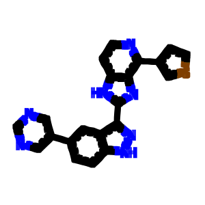 c1ncc(-c2ccc3[nH]nc(-c4nc5c(-c6ccsc6)nccc5[nH]4)c3c2)cn1